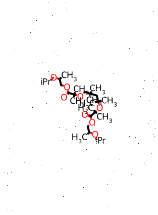 CC(C)OC(C)COC(=O)C(C)(C)OCC(C)(C)CC(C)(C)OC(C)(C)C(=O)OCC(C)OC(C)C